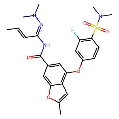 CC=C/C(=N\N(C)C)NC(=O)c1cc(Oc2ccc(S(=O)(=O)N(C)C)c(F)c2)c2cc(C)oc2c1